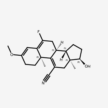 COC1=CC2=C(F)C[C@@H]3C(=C(C#N)C[C@]4(C)[C@H](O)CC[C@@H]34)[C@@]2(C)CC1